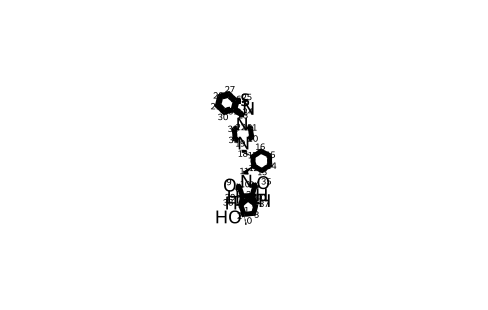 C[C@@]1(O)C[C@@H]2C[C@H]1[C@@H]1C(=O)N(C[C@@H]3CCCC[C@H]3CN3CCN(c4nsc5ccccc45)CC3)C(=O)[C@H]21